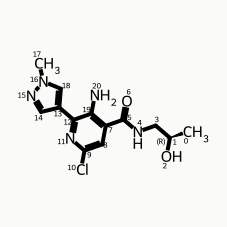 C[C@@H](O)CNC(=O)c1cc(Cl)nc(-c2cnn(C)c2)c1N